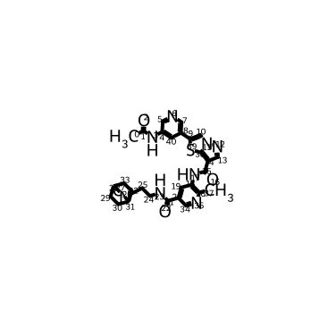 CC(=O)Nc1cncc(-c2cn3ncc(C(=O)Nc4cc(C(=O)NCCN5CC6CCC5CC6)cnc4C)c3s2)c1